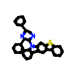 c1ccc(-c2cnc(-n3c4ccccc4c4cc5c(cc43)sc3ccccc35)c(-c3ccccc3)n2)cc1